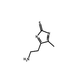 CC1=NC(=S)N=C1CCN